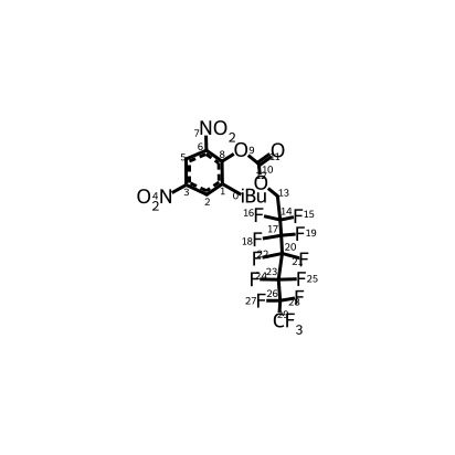 CCC(C)c1cc([N+](=O)[O-])cc([N+](=O)[O-])c1OC(=O)OCC(F)(F)C(F)(F)C(F)(F)C(F)(F)C(F)(F)C(F)(F)F